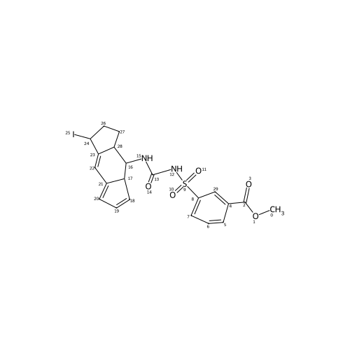 COC(=O)c1cccc(S(=O)(=O)NC(=O)NC2C3C=CC=C3C=C3C(I)CCC32)c1